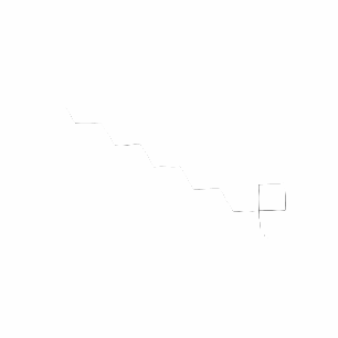 N#CC1(CCCCCCCCCO)CSC1